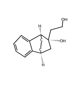 OCC[C@@]1(O)C[C@@H]2CC[C@H]1c1ccccc12